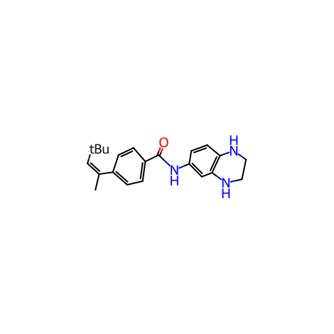 C/C(=C/C(C)(C)C)c1ccc(C(=O)Nc2ccc3c(c2)NCCN3)cc1